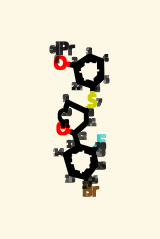 CC(C)Oc1cccc(SC2CCOC(c3ccc(Br)cc3F)C2)c1